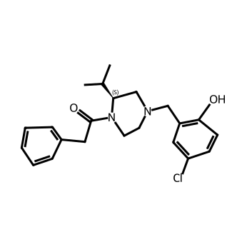 CC(C)[C@H]1CN(Cc2cc(Cl)ccc2O)CCN1C(=O)Cc1ccccc1